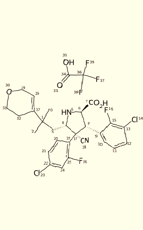 CC(C)(C[C@@H]1N[C@@H](C(=O)O)[C@H](c2cccc(Cl)c2F)[C@@]1(C#N)c1ccc(Cl)cc1F)C1=CCOCC1.O=C(O)C(F)(F)F